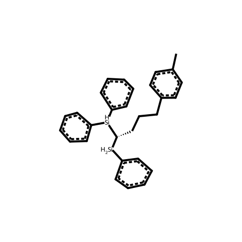 Cc1ccc(CCC[C@H]([SiH2]c2ccccc2)[SiH](c2ccccc2)c2ccccc2)cc1